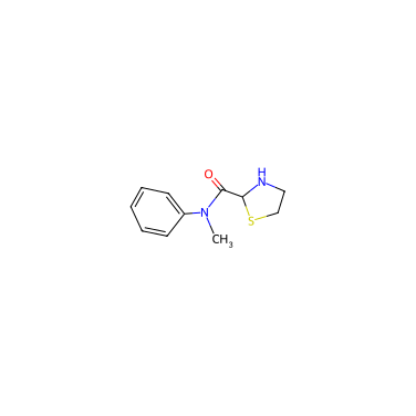 CN(C(=O)C1NCCS1)c1ccccc1